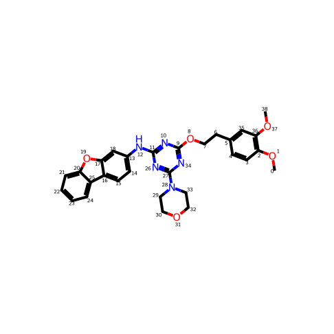 COc1ccc(CCOc2nc(Nc3ccc4c(c3)oc3ccccc34)nc(N3CCOCC3)n2)cc1OC